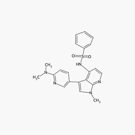 CN(C)c1ccc(-c2cn(C)c3nccc(NS(=O)(=O)c4ccccc4)c23)cn1